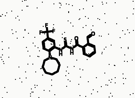 O=Cc1ccccc1C(=O)NC(=S)Nc1cc(C(F)(F)F)ccc1N1CCCCCCC1